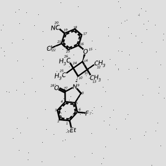 CCc1ccc2c(c1F)CN([C@H]1C(C)(C)[C@H](Oc3ccc(C#N)c(Cl)c3)C1(C)C)C2=O